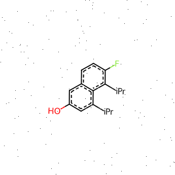 CC(C)c1cc(O)cc2ccc(F)c(C(C)C)c12